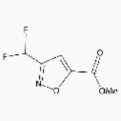 COC(=O)c1cc(C(F)F)no1